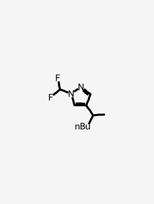 CCCCC(C)c1cnn(C(F)F)c1